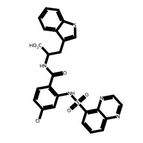 O=C(NC(Cc1csc2ccccc12)C(=O)O)c1ccc(Cl)cc1NS(=O)(=O)c1cccc2nccnc12